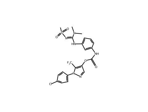 CN(C)C(=NS(C)(=O)=O)Nc1cccc(NC(=O)Oc2cnn(-c3ccc(Cl)cc3)c2C(F)(F)F)c1